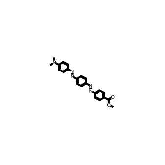 COC(=O)c1ccc(N=Nc2ccc(N=Nc3ccc(N(C)C)cc3)cc2)cc1